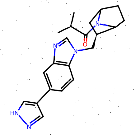 CC(C)C(=O)N1C2CCC1[C@@H](Cn1cnc3cc(-c4cn[nH]c4)ccc31)C2